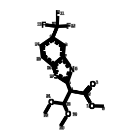 COC(=O)C(c1nc2cc(C(F)(F)F)ccc2s1)C(OC)OC